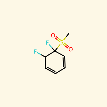 CS(=O)(=O)C1(F)C=CC=CC1F